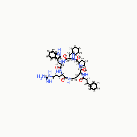 N=C(N)NCCCC1NC(=O)C(Cc2c[nH]c3ccccc23)NC(=O)[C@@H](CC2CCCCC2)NC(=O)C2CCCN2C(=O)[C@@H](NC(=O)CCc2ccccc2)CCCNC1=O